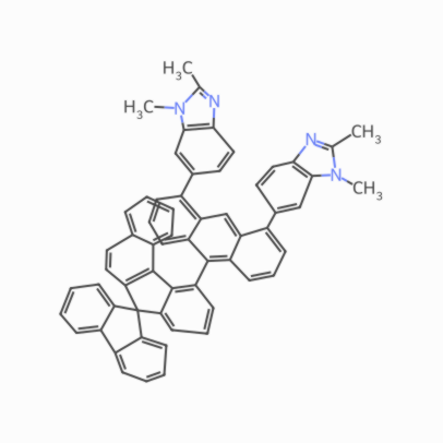 Cc1nc2ccc(-c3cccc4c(-c5cccc6c5-c5c(ccc7ccccc57)C65c6ccccc6-c6ccccc65)c5cccc(-c6ccc7nc(C)n(C)c7c6)c5cc34)cc2n1C